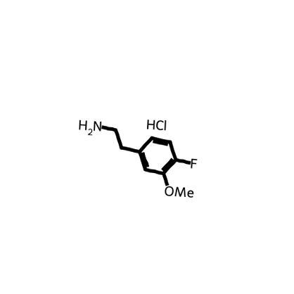 COc1cc(CCN)ccc1F.Cl